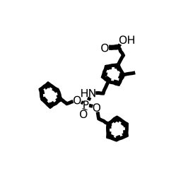 Cc1cc(CNP(=O)(OCc2ccccc2)OCc2ccccc2)ccc1CC(=O)O